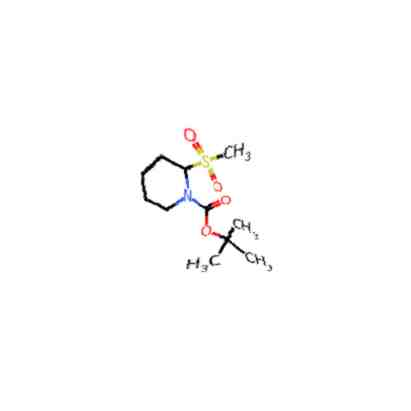 CC(C)(C)OC(=O)N1CCCCC1S(C)(=O)=O